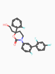 O=C1OC(CCO)(c2ccccc2F)CCN1c1ccc(F)c(-c2ccc(F)cc2F)c1